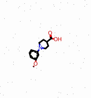 COc1cccc(N2CCC(C(=O)O)CC2)c1